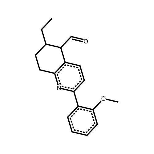 CCC1CCc2nc(-c3ccccc3OC)ccc2C1C=O